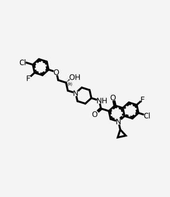 O=C(NC1CCN(C[C@@H](O)COc2ccc(Cl)c(F)c2)CC1)c1cn(C2CC2)c2cc(Cl)c(F)cc2c1=O